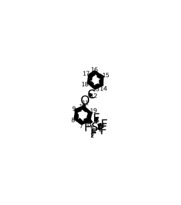 FS(F)(F)(F)(F)c1cccc(OCc2ccccc2)c1